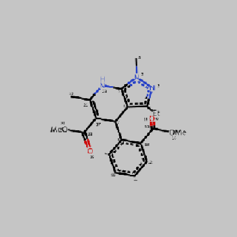 CCc1nn(C)c2c1C(c1ccccc1C(=O)OC)C(C(=O)OC)=C(C)N2